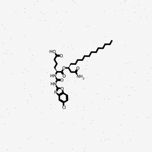 CCCCCCCCCCCCC[C@@H](CC(N)=O)OC(=O)[C@H](CCCC(=O)O)NC(=O)Nc1nc2cc(Cl)ccc2o1